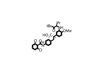 COc1ccc([C@H](Cc2ccc(NC(=O)c3c(Cl)cccc3Cl)cc2)C(=O)O)cc1NC(C(=O)C(C)(C)C)C(C)C